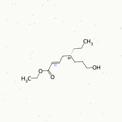 CCC[C@@H](C/C=C/C(=O)OCC)CCCO